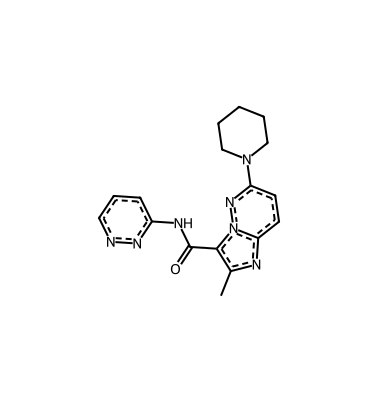 Cc1nc2ccc(N3CCCCC3)nn2c1C(=O)Nc1cccnn1